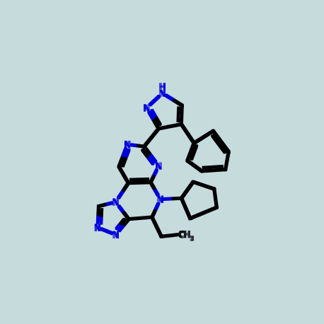 CCC1c2nncn2-c2cnc(-c3n[nH]cc3-c3ccccc3)nc2N1C1CCCC1